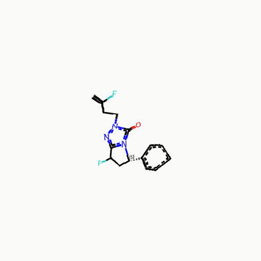 C=C(F)CCn1nc2n(c1=O)[C@H](c1ccccc1)CC2F